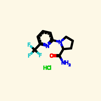 Cl.NC(=O)C1CCCN1c1cccc(C(F)(F)F)n1